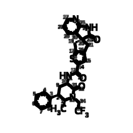 C[C@H]1[C@@H](c2ccccc2)C[C@@H](NC(=O)c2cc3c(s2)C[C@@]2(C3)C(=O)Nc3ncccc32)C(=O)N1CC(F)(F)F